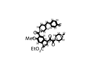 CCOC(=O)N1CC(C(=O)C(=O)N2CCN(C)CC2)c2cc(C(=O)N3CCC(Cc4ccc(F)cc4)CC3)c(OC)cc21